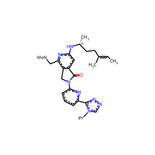 C/C=C(\C)CC[C@@H](C)Nc1cc2c(c(CNC)n1)CN(c1cccc(-c3nncn3C(C)C)n1)C2=O